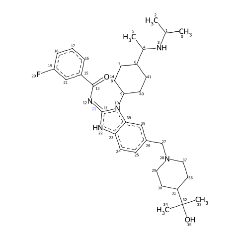 CC(C)NC(C)C1CCC(n2/c(=N\C(=O)c3cccc(F)c3)[nH]c3ccc(CN4CCC(C(C)(C)O)CC4)cc32)CC1